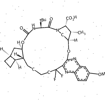 COc1ccc2nc3c(nc2c1)O[C@H]1CN(C(=O)[C@H](C(C)(C)C)NC(=O)O[C@@H]2C[C@@H]4CC[C@@H]4[C@H]2CCCCC3(F)F)[C@H](C(=O)O)[C@@H]1C